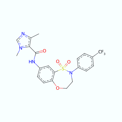 Cc1ncn(C)c1C(=O)Nc1ccc2c(c1)S(=O)(=O)N(c1ccc(C(F)(F)F)cc1)CCO2